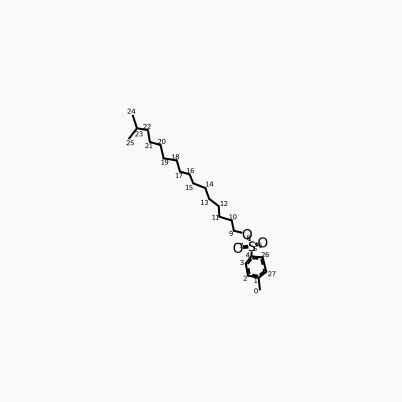 Cc1ccc(S(=O)(=O)OCCCCCCCCCCCCCCC(C)C)cc1